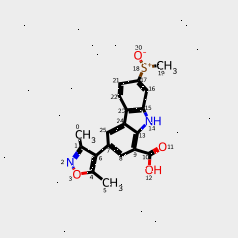 Cc1noc(C)c1-c1cc(C(=O)O)c2[nH]c3cc([S+](C)[O-])ccc3c2c1